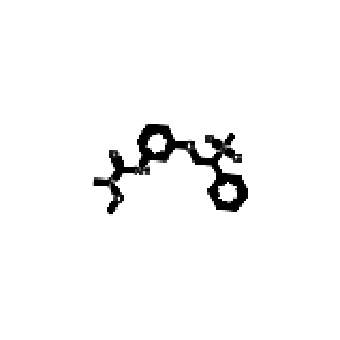 CON(C)C(=O)Nc1cccc(OCC(c2ccccc2)S(C)(=O)=O)c1